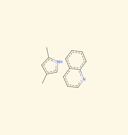 Cc1c[nH]c(C)c1.c1ccc2ncccc2c1